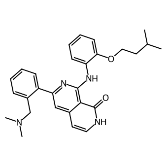 CC(C)CCOc1ccccc1Nc1nc(-c2ccccc2CN(C)C)cc2cc[nH]c(=O)c12